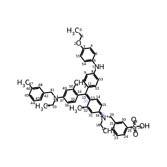 CCOc1ccc(Nc2ccc(/C(=C3C=C/C(=[N+](/CC)Cc4cccc(S(=O)(=O)O)c4)C=C\3C)c3ccc(N(CC)Cc4cccc(C)c4)cc3C)cc2)cc1